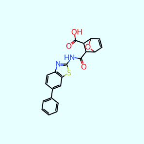 O=C(O)C1C2C=CC(O2)C1C(=O)Nc1nc2ccc(-c3ccccc3)cc2s1